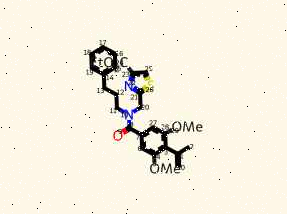 C=C(C)c1c(OC)cc(C(=O)N(CCCc2ccccc2)Cc2nc(C(=O)OCC)cs2)cc1OC